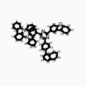 c1ccc(-n2c3ccccc3c3cccc(-n4c5ccccc5c5c(-c6nc(-c7ccc(-c8cccc9ccccc89)cc7)nc(-c7ccc8oc9ccccc9c8c7)n6)cccc54)c32)cc1